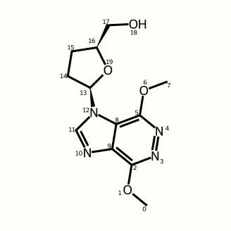 COc1nnc(OC)c2c1ncn2[C@H]1CC[C@@H](CO)O1